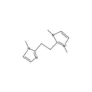 Cn1ccnc1CCc1n(C)cc[n+]1C